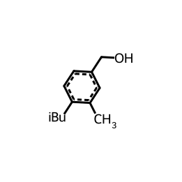 CCC(C)c1ccc(CO)cc1C